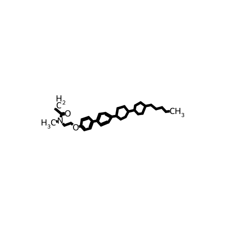 C=CC(=O)N(C)CCOc1ccc(-c2ccc(C3CCC(C4CCC(CCCCC)CC4)CC3)cc2)cc1